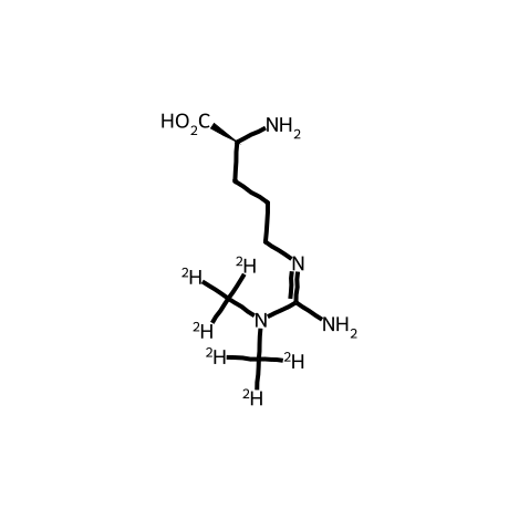 [2H]C([2H])([2H])N(C(N)=NCCC[C@H](N)C(=O)O)C([2H])([2H])[2H]